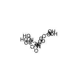 CCCc1nc(C(C)(C)O)c(C(=O)O)n1Cc1ccc(-c2ccccc2-c2nnn(C(C)OC(=O)Oc3ccc(CON(O)O)cc3)n2)cc1